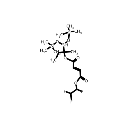 CCC(C)(OC(=O)C=CC(=O)OC(F)C(F)F)[SiH](O[Si](C)(C)C)O[Si](C)(C)C